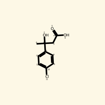 CC(O)(CC(=O)O)c1ccc(Cl)cc1